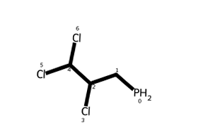 PCC(Cl)C(Cl)Cl